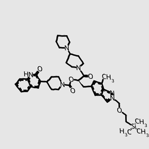 Cc1cc(C[C@@H](OC(=O)N2CCC(c3cc4ccccc4[nH]c3=O)CC2)C(=O)N2CCC(N3CCCCC3)CC2)cc2cn(COCC[Si](C)(C)C)nc12